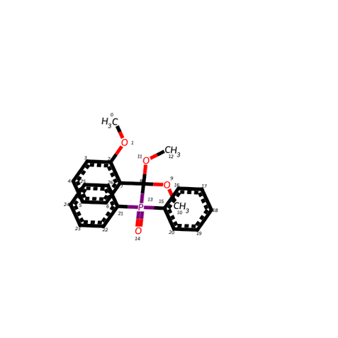 COc1ccccc1C(OC)(OC)P(=O)(c1ccccc1)c1ccccc1